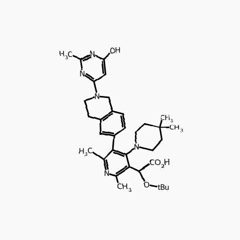 Cc1nc(O)cc(N2CCc3cc(-c4c(C)nc(C)c(C(OC(C)(C)C)C(=O)O)c4N4CCC(C)(C)CC4)ccc3C2)n1